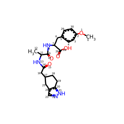 COc1ccc(CC(NC(=O)C(C)NC(=O)CC2CCc3[nH]ncc3C2)C(=O)O)cc1